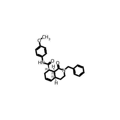 COc1ccc(NC(=O)[C@@H]2CC=C[C@@H]3CCN(Cc4ccccc4)C(=O)[C@@H]32)cc1